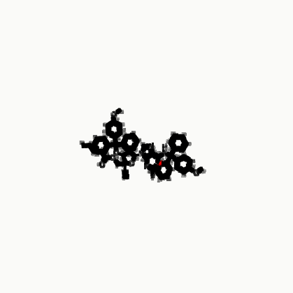 C#C[C@]1(COC(=O)CCCC)O[C@@H](n2cnc3c(NC(c4ccccc4)(c4ccccc4)c4ccc(OC)cc4)nc(F)nc32)C[C@@H]1OC(c1ccccc1)(c1ccccc1)c1ccc(OC)cc1